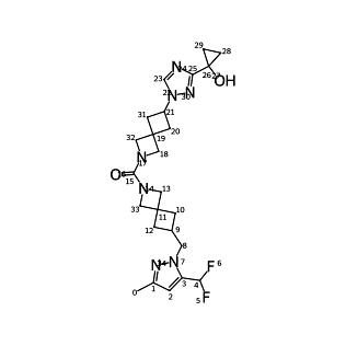 Cc1cc(C(F)F)n(CC2CC3(C2)CN(C(=O)N2CC4(CC(n5cnc(C6(O)CC6)n5)C4)C2)C3)n1